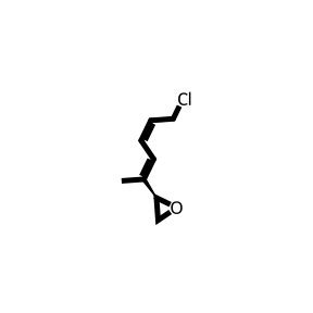 C/C(=C\C=C/CCl)[C@@H]1CO1